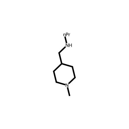 CCCNCC1CCN(C)CC1